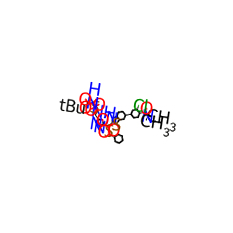 CN(C)C(=O)c1ccc(-c2ccc3nc(C(c4nnc(CNS(=O)(=O)NC(=O)OC(C)(C)C)o4)S(=O)(=O)Cc4ccccc4)sc3c2)cc1Cl